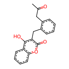 CC(=O)Cc1ccccc1Cc1c(O)c2ccccc2oc1=O